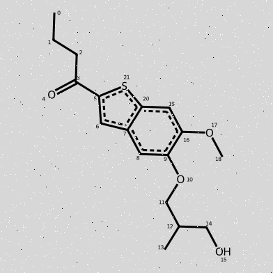 CCCC(=O)c1cc2cc(OCC(C)CO)c(OC)cc2s1